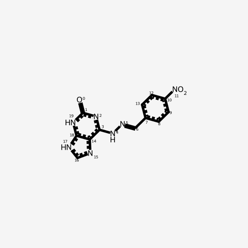 O=c1nc(NN=Cc2ccc([N+](=O)[O-])cc2)c2nc[nH]c2[nH]1